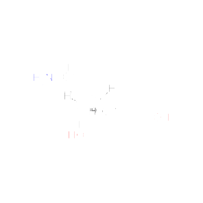 C[C@]12CC[C@H]3[C@@H](C(O)=CC4=C[C@@H](O)C=C[C@@]43C)[C@@H]1CC[C@@H]2N